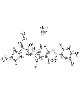 CCO/N=C(\C(=O)NC1C(=O)N2C(C(=O)[O-])=C(CSc3nc(=O)c([O-])nn3C)CS[C@H]12)c1nsc(N)n1.[Na+].[Na+]